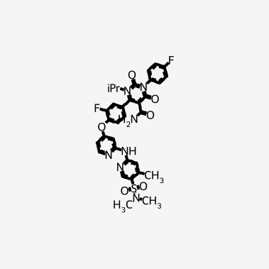 Cc1cc(Nc2cc(Oc3ccc(-c4c(C(N)=O)c(=O)n(-c5ccc(F)cc5)c(=O)n4C(C)C)cc3F)ccn2)ncc1S(=O)(=O)N(C)C